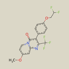 COc1ccn2c(=O)c(-c3ccc(OCC(F)F)cc3)c(C(F)(F)F)nc2c1